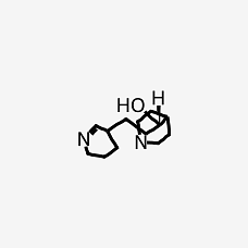 O[C@@H]1C2CCN(CC2)C1CC1C=NCCC1